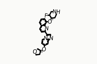 FC1CNCC[C@@H]1Oc1cccc2ccc(-c3cnc4cc(O[C@H]5CCOC5)ccn34)nc12